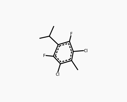 Cc1c(Cl)c(F)c(C(C)C)c(F)c1Cl